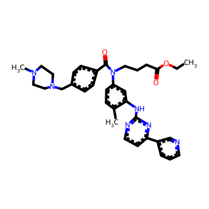 CCOC(=O)CCCN(C(=O)c1ccc(CN2CCN(C)CC2)cc1)c1ccc(C)c(Nc2nccc(-c3cccnc3)n2)c1